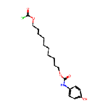 O=C(Cl)OCCCCCCCCCCOC(=O)Nc1ccc(O)cc1